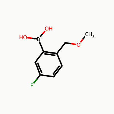 COCc1ccc(F)cc1B(O)O